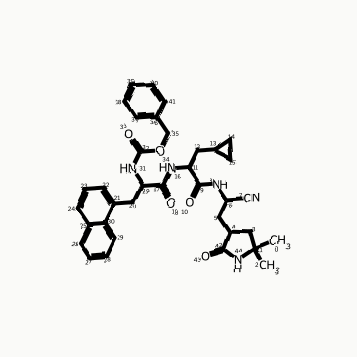 CC1(C)CC(CC(C#N)NC(=O)C(CC2CC2)NC(=O)C(Cc2cccc3ccccc23)NC(=O)OCc2ccccc2)C(=O)N1